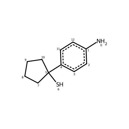 Nc1ccc(C2(S)CCCC2)cc1